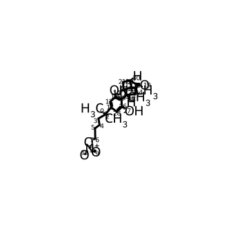 CC(C)(CCCCO[N+](=O)[O-])c1cc(O)c([C@H]2CC(=O)[C@H]3C[C@@H]2C3(C)C)c(O)c1